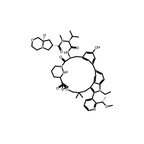 CCn1c(-c2cccnc2[C@H](C)OC)c2c3cc(ccc31)-c1cc(O)cc(c1)C[C@H](NC(=O)[C@H](C(C)C)N(C)C(=O)[C@H]1C[C@@H]3COCCN3C1)C(=O)N1CCC[C@@](C3=CS3)(N1)C(=O)OCC(C)(C)C2